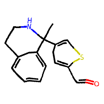 CC1(c2csc(C=O)c2)NCCc2ccccc21